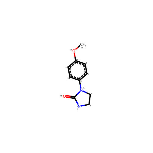 O=C1[N]CCN1c1ccc(OC(F)(F)F)cc1